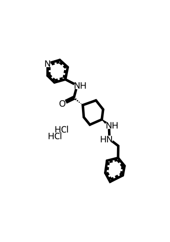 Cl.Cl.O=C(Nc1ccncc1)[C@H]1CC[C@H](NNCc2ccccc2)CC1